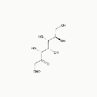 O=[C]CC(=O)[C@H](O)[C@@H](O)[C@H](O)[C@H](O)CO